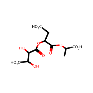 CC(OC(=O)C(CC(=O)O)OC(=O)C(O)C(O)C(=O)O)C(=O)O